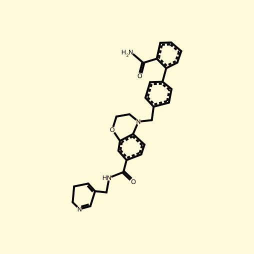 NC(=O)c1ccccc1-c1ccc(CN2CCOc3cc(C(=O)NCC4=CCCN=C4)ccc32)cc1